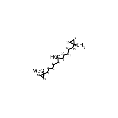 COC1(CCCCCC(O)CCCCCC2(C)CC2)CC1